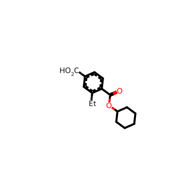 CCc1cc(C(=O)O)ccc1C(=O)OC1CCCCC1